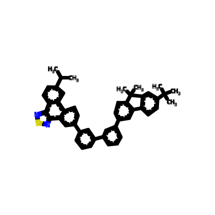 CC(C)c1ccc2c(c1)c1ccc(-c3cccc(-c4cccc(-c5ccc6c(c5)-c5ccc(C(C)(C)C)cc5C6(C)C)c4)c3)cc1c1nsnc21